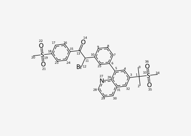 CC(C)(c1cc(-c2cccc(C(Br)C(=O)c3ccc(S(C)(=O)=O)cc3)c2)c2ncccc2c1)S(C)(=O)=O